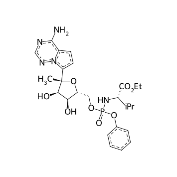 CCOC(=O)[C@@H](NP(=O)(OC[C@H]1O[C@@](C)(c2ccc3c(N)ncnn23)[C@H](O)[C@@H]1O)Oc1ccccc1)C(C)C